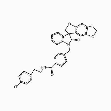 O=C(NCCc1ccc(Cl)cc1)c1ccc(CN2C(=O)C3(COc4cc5c(cc43)OCO5)c3ccccc32)cc1